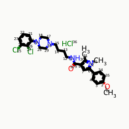 COc1ccc(-c2cc(C(=O)NCCCCN3CCN(c4cccc(Cl)c4Cl)CC3)c(C)n2C)cc1.Cl